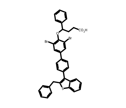 O=C(O)CCC(Oc1c(Br)cc(-c2ccc(-c3c(Cc4ccccc4)sc4ccccc34)cc2)cc1Br)c1ccccc1